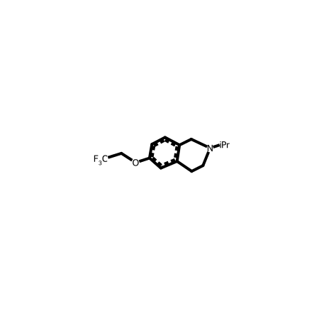 CC(C)N1CCc2cc(OCC(F)(F)F)ccc2C1